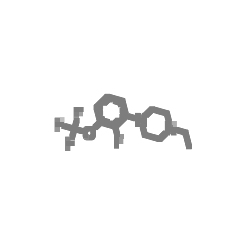 CCN1CCN(c2cccc(OC(F)(F)F)c2F)CC1